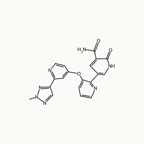 Cn1ncc(-c2cc(Oc3cccnc3-c3c[nH]c(=O)c(C(N)=O)c3)ccn2)n1